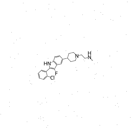 CNCCN1CCC(c2ccc3[nH]c(-c4ccccc4Cl)c(F)c3c2)CC1